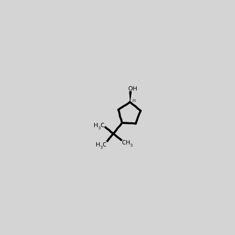 CC(C)(C)C1CC[C@H](O)C1